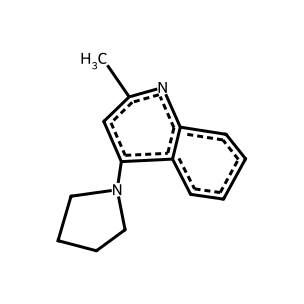 Cc1cc(N2CCCC2)c2ccccc2n1